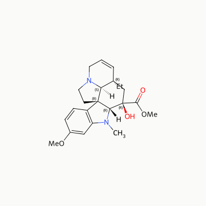 CC[C@]12C=CCN3CC[C@@]4(c5ccc(OC)cc5N(C)[C@H]4[C@@](O)(C(=O)OC)C1)[C@@H]32